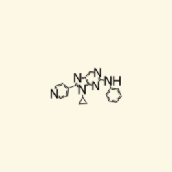 c1ccc(Nc2ncc3nc(-c4ccncc4)n(C4CC4)c3n2)cc1